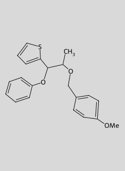 COc1ccc(COC(C)C(Oc2ccccc2)c2cccs2)cc1